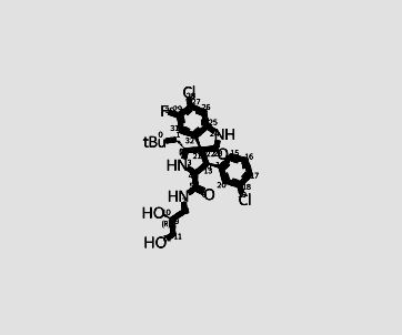 CC(C)(C)C[C@H]1NC(C(=O)NC[C@@H](O)CO)[C@H](c2cccc(Cl)c2)[C@@]12C(=O)Nc1cc(Cl)c(F)cc12